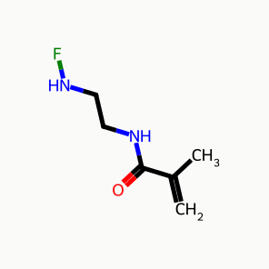 C=C(C)C(=O)NCCNF